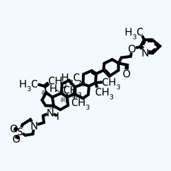 C=C(C)[C@@H]1CC[C@]2(N(I)CCN3CCS(=O)(=O)CC3)CC[C@]3(C)[C@H](CCC4[C@@]5(C)CC=C(C6=CCC(C=O)(CCOc7ncccc7C)CC6)C(C)(C)C5CC[C@]43C)C12